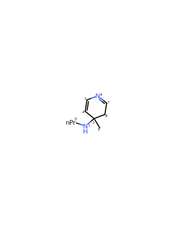 CCCNC1(C)C=CN=CC1